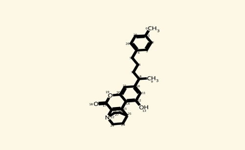 Cc1ccc(CCCC(C)c2cc(O)c3c4c(c(=O)oc3c2)N2CCC4CC2)cc1